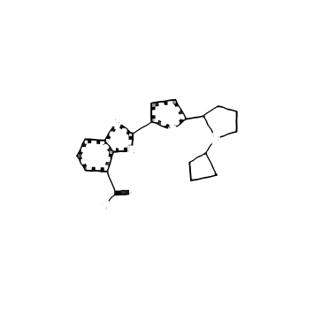 NC(=O)c1cccc2[nH]c(-c3ccc(C4CCCN4C4CCC4)s3)nc12